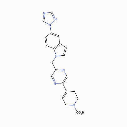 O=C(O)N1CC=C(c2cnc(Cn3ccc4cc(-n5cncn5)ccc43)cn2)CC1